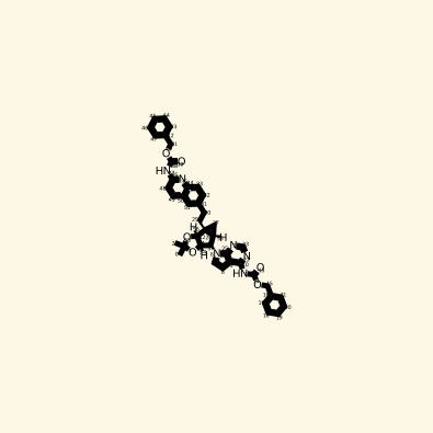 CC1(C)O[C@H]2[C@H](n3ccc4c(NC(=O)OCc5ccccc5)ncnc43)[C@H]3C[C@@]3(CCc3ccc4nc(NC(=O)OCc5ccccc5)ccc4c3)[C@H]2O1